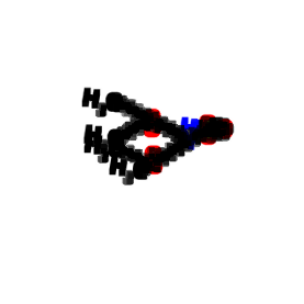 CCCCCCCCC(CC)OC(=O)CCCCCCCN(CCCCCCCC(=O)OC(CCCCCCCC)CCCCCCCC)CCCNS(=O)(=O)C1CCOCC1